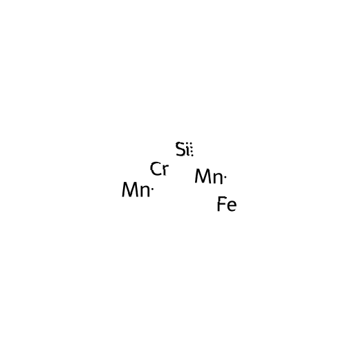 [Cr].[Fe].[Mn].[Mn].[Si]